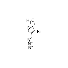 CCn1ncc(CN=[N+]=[N-])c1Br